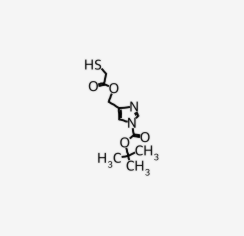 CC(C)(C)OC(=O)n1cnc(COC(=O)CS)c1